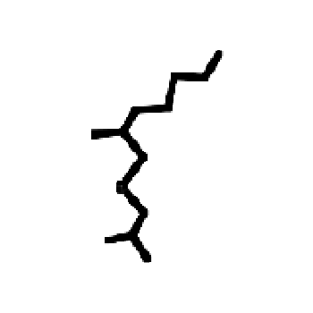 CCCCC[C@H](C)COCC(C)C